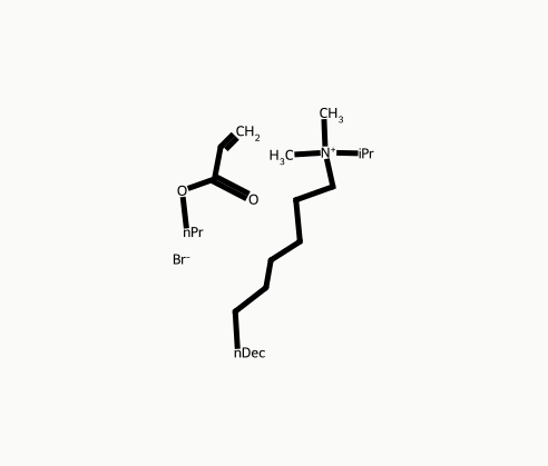 C=CC(=O)OCCC.CCCCCCCCCCCCCCCC[N+](C)(C)C(C)C.[Br-]